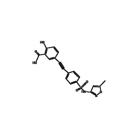 Cc1cc(NS(=O)(=O)c2ccc(C#Cc3ccc(O)c(C(=O)O)c3)cc2)no1